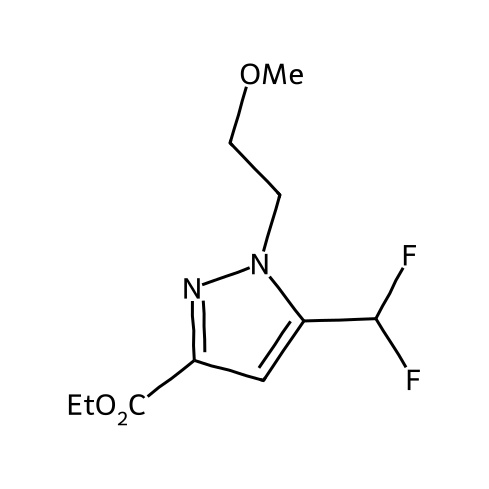 CCOC(=O)c1cc(C(F)F)n(CCOC)n1